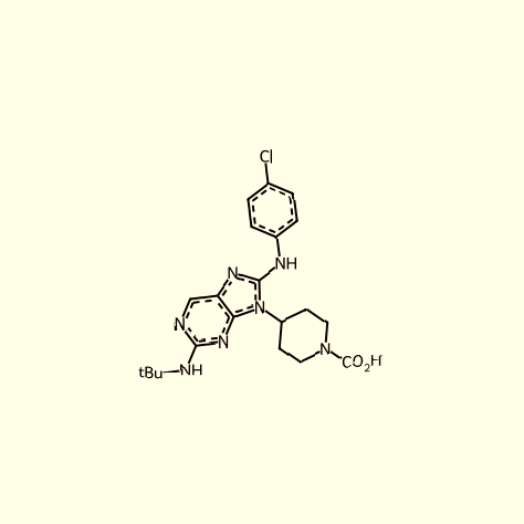 CC(C)(C)Nc1ncc2nc(Nc3ccc(Cl)cc3)n(C3CCN(C(=O)O)CC3)c2n1